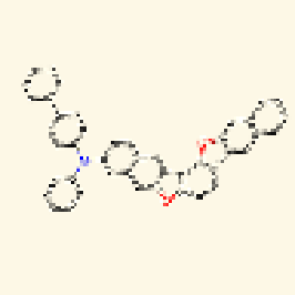 c1ccc(-c2ccc(N(c3ccccc3)c3ccc4cc5c(cc4c3)oc3ccc4c6cc7ccccc7cc6oc4c35)cc2)cc1